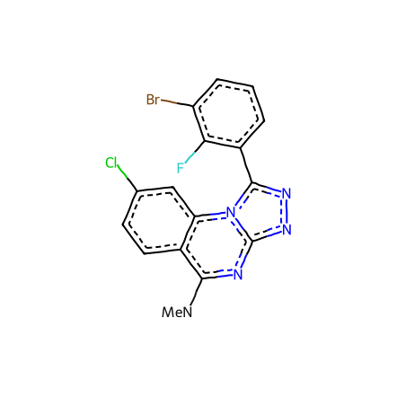 CNc1nc2nnc(-c3cccc(Br)c3F)n2c2cc(Cl)ccc12